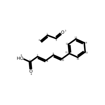 C=CC=O.O=C(O)C=CC=Cc1ccccc1